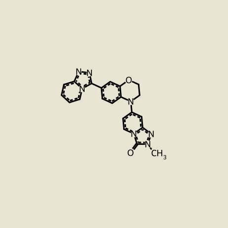 Cn1nc2cc(N3CCOc4cc(-c5nnc6ccccn56)ccc43)ccn2c1=O